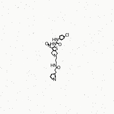 O=NCc1c(NC(=O)Nc2ccc(Cl)cc2)sc2c1CCN(CCCNC(=O)CCc1cccnc1)C2